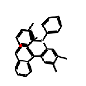 CC=C(C)c1ccc2ccccc2c1-c1cc(C)c(C)cc1P(c1ccccc1)c1ccccc1